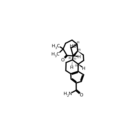 CC1(C)CC[C@]2(O)CC[C@H]3[C@@H]4CCc5cc(C(N)=O)ccc5[C@H]4CC[C@@]32CC1=O